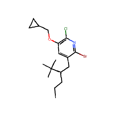 CCCC(Cc1cc(OCC2CC2)c(Cl)nc1Br)C(C)(C)C